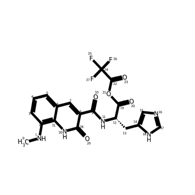 CNc1cccc2cc(C(=O)N[C@@H](Cc3cnc[nH]3)C(=O)OC(=O)C(F)(F)F)c(=O)[nH]c12